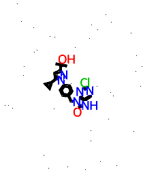 CC(C)(O)c1cc(C2CC2)n(-c2ccc(Cn3c(=O)[nH]c4cnc(Cl)nc43)cc2)n1